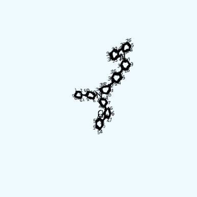 C1=CCC(c2ccc(N(c3ccc(-c4ccc(-c5cccc(-n6c7ccccc7c7ccccc76)c5)cc4)cc3)c3ccc(-c4cccc5c4oc4ccccc45)cc3)cc2)C=C1